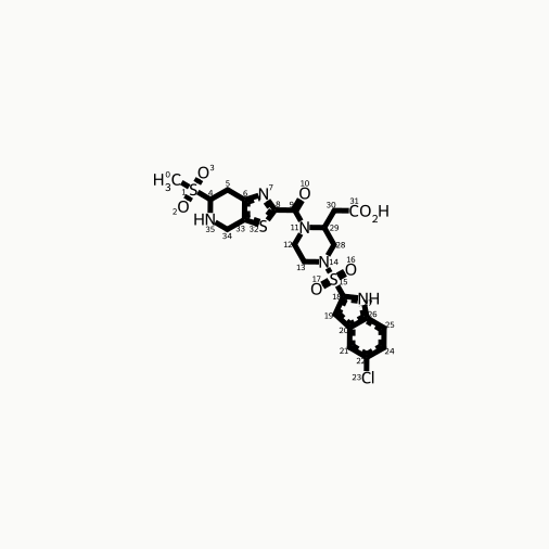 CS(=O)(=O)C1Cc2nc(C(=O)N3CCN(S(=O)(=O)c4cc5cc(Cl)ccc5[nH]4)CC3CC(=O)O)sc2CN1